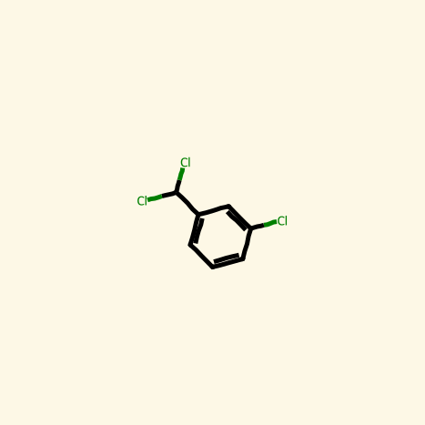 Clc1cccc(C(Cl)Cl)c1